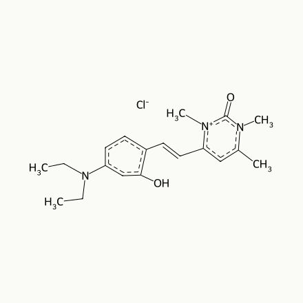 CCN(CC)c1ccc(C=Cc2cc(C)n(C)c(=O)[n+]2C)c(O)c1.[Cl-]